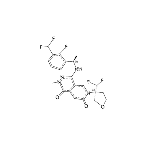 C[C@@H](Nc1nn(C)c(=O)c2cc(=O)n([C@@]3(C(F)F)CCOC3)cc12)c1cccc(C(F)F)c1F